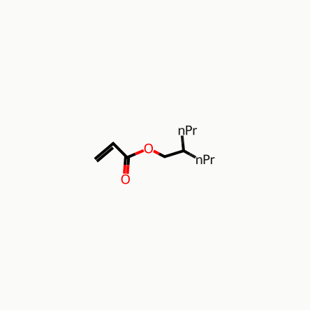 C=CC(=O)OCC(CCC)CCC